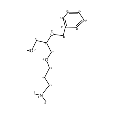 CN(C)CCCOCC(CO)OCc1ccccc1